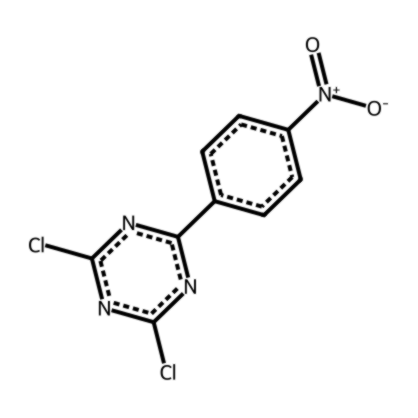 O=[N+]([O-])c1ccc(-c2nc(Cl)nc(Cl)n2)cc1